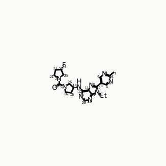 CCn1c(-c2cnc(C)nc2)nc2c(N[C@H]3CCN(C(=O)N4CC[C@H](F)C4)C3)ncnc21